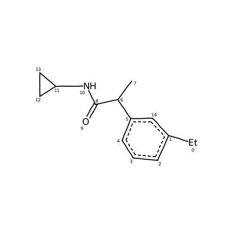 CCc1cccc(C(C)C(=O)NC2CC2)c1